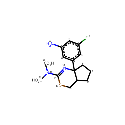 Nc1cc(F)cc(C23CCCC2CSC(N(C(=O)O)C(=O)O)=N3)c1